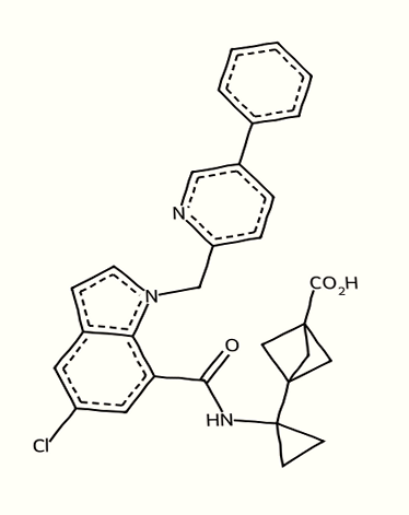 O=C(NC1(C23CC(C(=O)O)(C2)C3)CC1)c1cc(Cl)cc2ccn(Cc3ccc(-c4ccccc4)cn3)c12